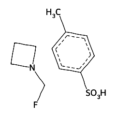 Cc1ccc(S(=O)(=O)O)cc1.FCN1CCC1